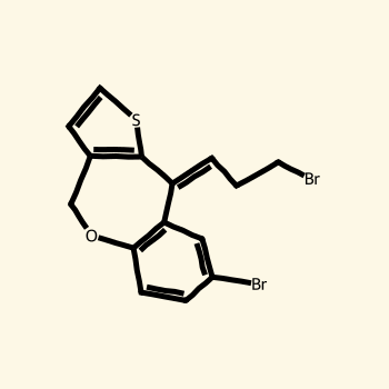 BrCC/C=C1\c2cc(Br)ccc2OCc2ccsc21